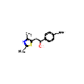 COc1ccc(C(O)Cc2sc(C)nc2C)cc1